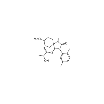 COC1CCC2(CC1)NC(=O)C(c1cc(C)ccc1C)=C2OC(=O)C(C)O